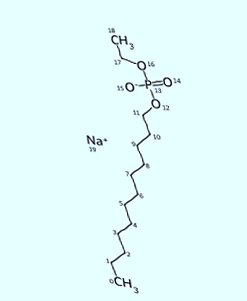 CCCCCCCCCCCCOP(=O)([O-])OCC.[Na+]